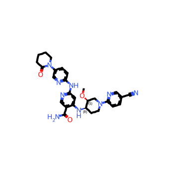 CO[C@H]1CN(c2ccc(C#N)cn2)CC[C@H]1Nc1cc(Nc2ccc(N3CCCCC3=O)cn2)ncc1C(N)=O